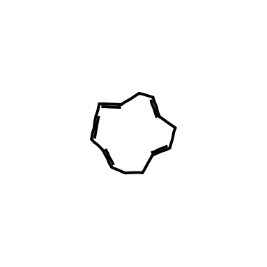 [CH]1/C=C/C=C\C=C\C/C=C/C/C=C/C1